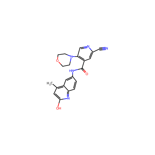 Cc1cc(O)nc2ccc(NC(=O)c3cc(C#N)ncc3N3CCOCC3)cc12